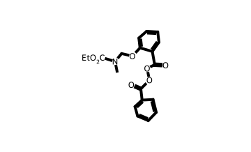 CCOC(=O)N(C)COc1ccccc1C(=O)OOC(=O)c1ccccc1